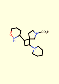 O=C(O)N1CCC2(C1)C(C1CCCON1)CC2N1CCCCC1